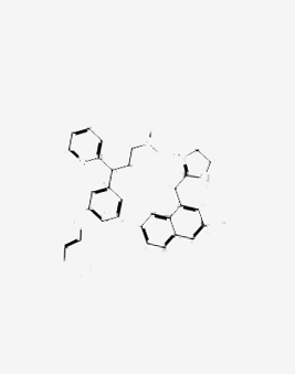 CN(C)CCC(c1ccccc1)c1ccccn1.Cl.O=C(O)/C=C/C(=O)O.c1ccc2c(CC3=NCCN3)cccc2c1